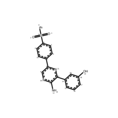 CC(C)S(=O)(=O)c1ccc(-c2cnc(N)c(-c3cccc(O)c3)n2)cc1